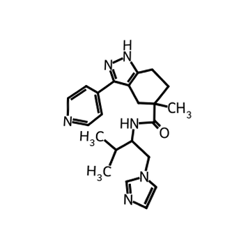 CC(C)C(Cn1ccnc1)NC(=O)C1(C)CCc2[nH]nc(-c3ccncc3)c2C1